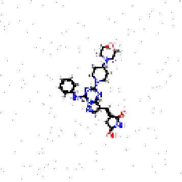 O=C1NC(O)C/C1=C\c1cnn2c(Nc3ccccc3)nc(N3CCC(N4CCOCC4)CC3)nc12